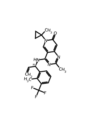 C=C[C@@H](Nc1nc(C)nc2cc(=O)n(C3(C)CC3)cc12)c1cccc(C(F)(F)F)c1C